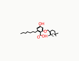 CCCCCCCc1cc(O)cc(OCC2=C(C)CC(C)(C)CC2)c1C(=O)O